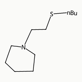 CCCCSCCN1CCCCC1